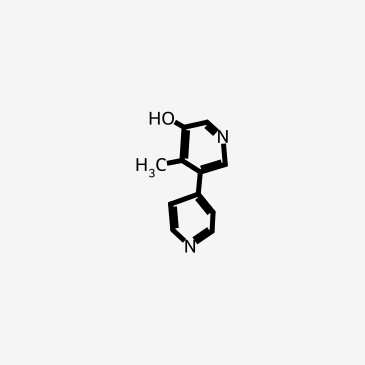 Cc1c(O)cncc1-c1ccncc1